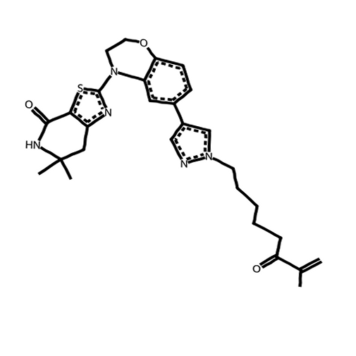 C=C(C)C(=O)CCCCCn1cc(-c2ccc3c(c2)N(c2nc4c(s2)C(=O)NC(C)(C)C4)CCO3)cn1